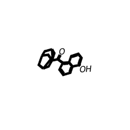 O=C(c1cccc2c(O)cccc12)C12CC3CC(CC(C3)C1)C2